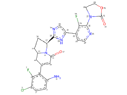 Nc1ccc(Cl)c(F)c1C1=CC(=O)N2C(CC[C@H]2c2ncc(-c3ccnc(N4CCOC4=O)c3F)[nH]2)C1